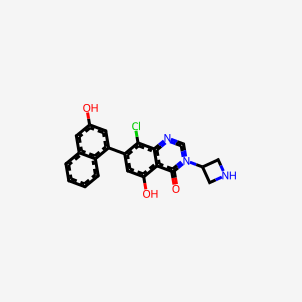 O=c1c2c(O)cc(-c3cc(O)cc4ccccc34)c(Cl)c2ncn1C1CNC1